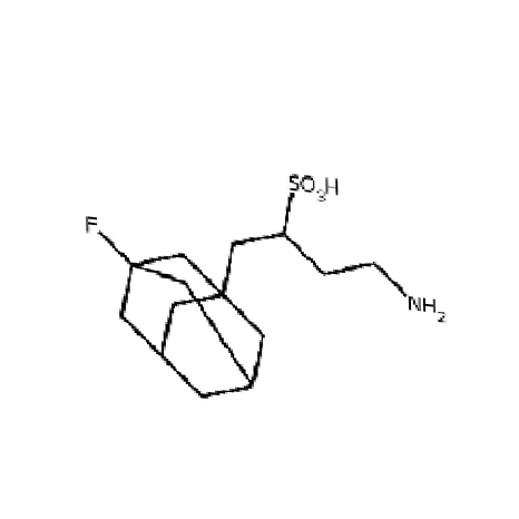 NCCC(CC12CC3CC(CC(F)(C3)C1)C2)S(=O)(=O)O